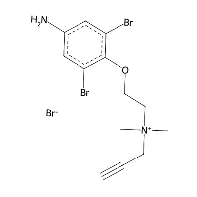 C#CC[N+](C)(C)CCOc1c(Br)cc(N)cc1Br.[Br-]